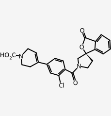 O=C1O[C@]2(CCN(C(=O)c3ccc(C4=CCN(C(=O)O)CC4)cc3Cl)C2)c2ccccc21